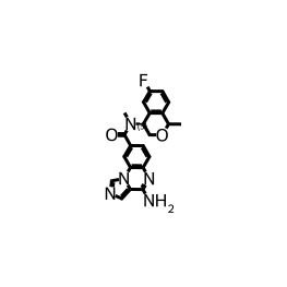 CC1OC[C@@H](N(C)C(=O)c2ccc3nc(N)c4cncn4c3c2)c2cc(F)ccc21